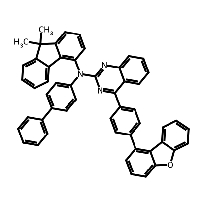 CC1(C)c2ccccc2-c2c(N(c3ccc(-c4ccccc4)cc3)c3nc(-c4ccc(-c5cccc6oc7ccccc7c56)cc4)c4ccccc4n3)cccc21